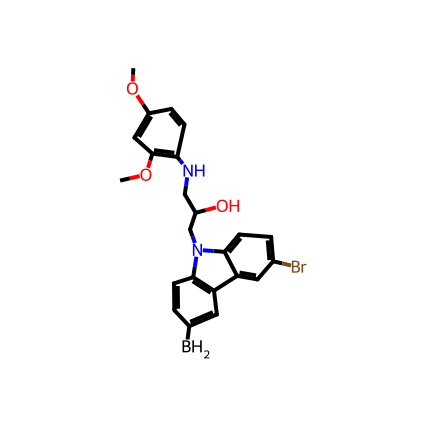 Bc1ccc2c(c1)c1cc(Br)ccc1n2CC(O)CNc1ccc(OC)cc1OC